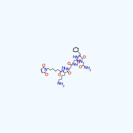 NCCCCC(NC(=O)CCCCCN1C(=O)C=CC1=O)C(=O)NCC(=O)NCC(=O)N[C@@H](Cc1ccccc1)C(=O)NCC(N)=O